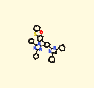 c1ccc(-c2cc(-c3ccccc3)nc(-c3ccc(-c4ccc5c(c4)Oc4ccccc4S5)c(-c4nc(-c5ccccc5)nc(-c5ccccc5)n4)c3)n2)cc1